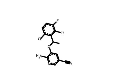 CC(Oc1cc(C#N)cnc1N)c1c(Cl)ccc(F)c1Cl